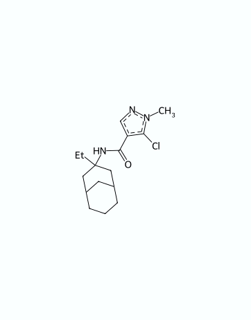 CCC1(NC(=O)c2cnn(C)c2Cl)CC2CCCC(C2)C1